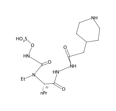 CCC[C@@H](C(=O)NNC(=O)CC1CCNCC1)N(CC)C(=O)NOS(=O)(=O)O